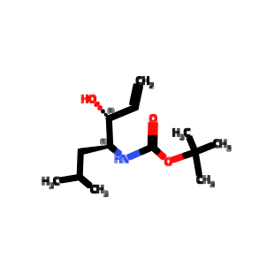 C=C[C@@H](O)[C@H](CC(C)C)NC(=O)OC(C)(C)C